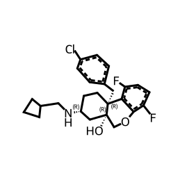 O[C@@]12COc3c(F)ccc(F)c3[C@]1(Cc1ccc(Cl)cc1)CC[C@@H](NCC1CCC1)C2